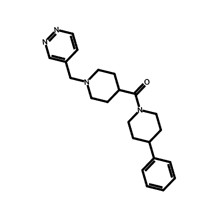 O=C(C1CCN(Cc2ccnnc2)CC1)N1CCC(c2ccccc2)CC1